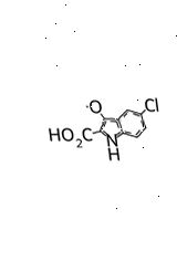 [O]c1c(C(=O)O)[nH]c2ccc(Cl)cc12